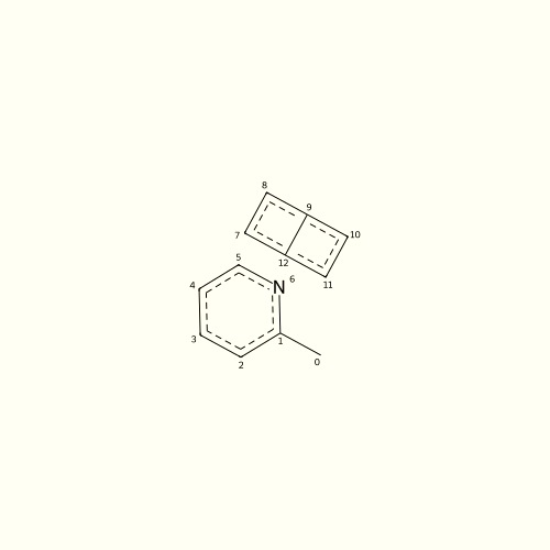 Cc1ccccn1.c1cc2ccc1-2